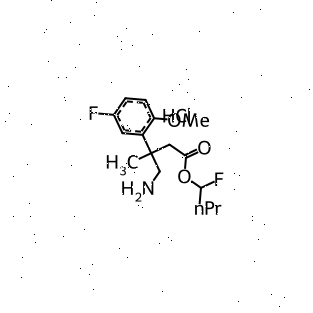 CCCC(F)OC(=O)CC(C)(CN)c1cc(F)ccc1OC.Cl